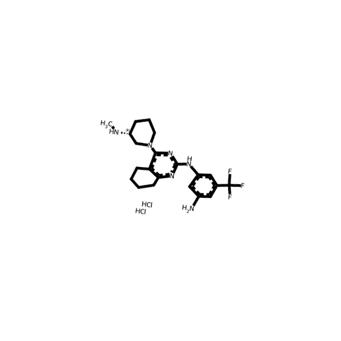 CN[C@@H]1CCCN(c2nc(Nc3cc(N)cc(C(F)(F)F)c3)nc3c2CCCC3)C1.Cl.Cl